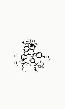 Cc1ccc([C](c2ccc(C)cc2)=[Zr+2]([C]2=CC(C(C)(C)C)=CC2C)[CH]2c3cc(C(C)(C)C)ccc3-c3ccc(C(C)(C)C)cc32)cc1.[Cl-].[Cl-]